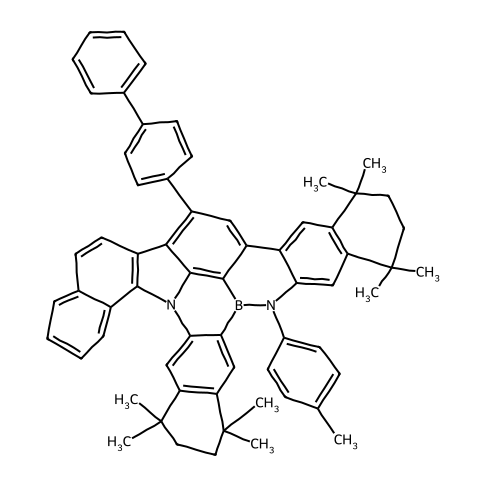 Cc1ccc(N2B3c4cc5c(cc4-n4c6c3c(cc(-c3ccc(-c7ccccc7)cc3)c6c3ccc6ccccc6c34)-c3cc4c(cc32)C(C)(C)CCC4(C)C)C(C)(C)CCC5(C)C)cc1